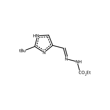 CCOC(=O)NN=Cc1c[nH]c(C(C)(C)C)n1